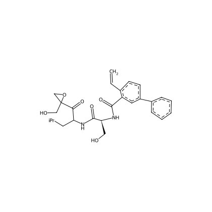 C=Cc1ccc(-c2ccccc2)cc1C(=O)N[C@@H](CO)C(=O)NC(CC(C)C)C(=O)C1(CO)CO1